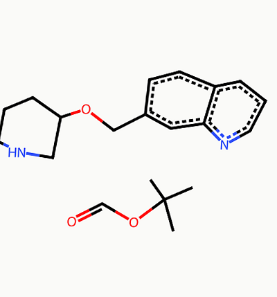 CC(C)(C)OC=O.c1cnc2cc(COC3CCCNC3)ccc2c1